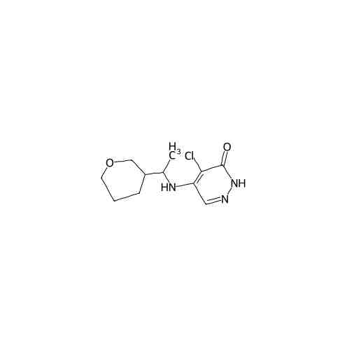 CC(Nc1cn[nH]c(=O)c1Cl)C1CCCOC1